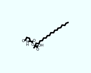 CCCCCCCCCCCCCCCCCCC(C)(OC(=O)C1CCC(=O)N1)C(=O)O